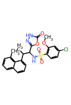 COc1cc(Cl)ccc1S(=O)(=O)NC(c1n[nH]c(=O)o1)C(C)c1cccc2cccc(C)c12